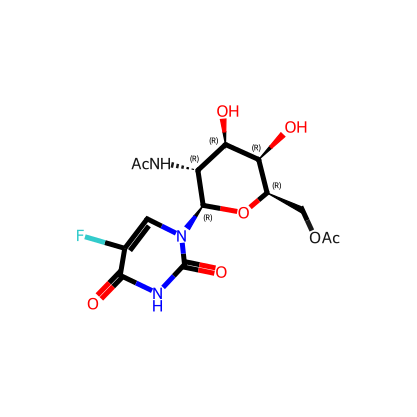 CC(=O)N[C@@H]1[C@@H](O)[C@@H](O)[C@@H](COC(C)=O)O[C@H]1n1cc(F)c(=O)[nH]c1=O